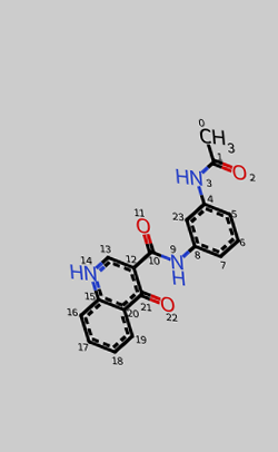 CC(=O)Nc1cccc(NC(=O)c2c[nH]c3ccccc3c2=O)c1